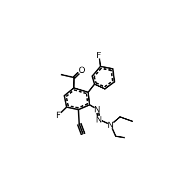 C#Cc1c(F)cc(C(C)=O)c(-c2cccc(F)c2)c1N=NN(CC)CC